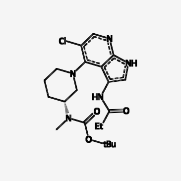 CCC(=O)Nc1c[nH]c2ncc(Cl)c(N3CCC[C@@H](N(C)C(=O)OC(C)(C)C)C3)c12